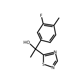 Cc1ccc(C(C)(O)c2ncns2)cc1F